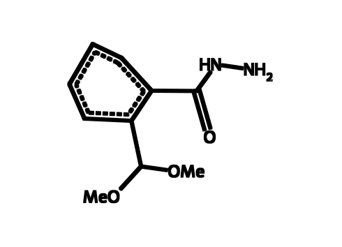 COC(OC)c1ccccc1C(=O)NN